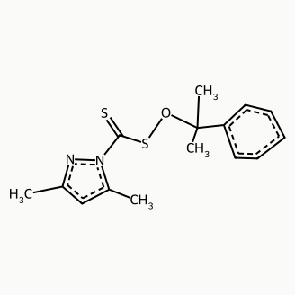 Cc1cc(C)n(C(=S)SOC(C)(C)c2ccccc2)n1